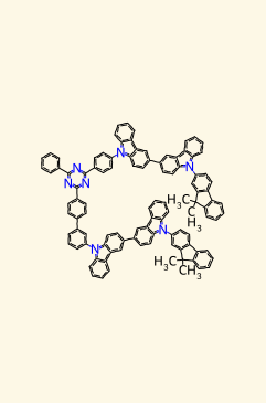 CC1(C)c2ccccc2-c2ccc(-n3c4ccccc4c4cc(-c5ccc6c(c5)c5ccccc5n6-c5ccc(-c6nc(-c7ccccc7)nc(-c7ccc(-c8cccc(-n9c%10ccccc%10c%10cc(-c%11ccc%12c(c%11)c%11ccccc%11n%12-c%11ccc%12c(c%11)C(C)(C)c%11ccccc%11-%12)ccc%109)c8)cc7)n6)cc5)ccc43)cc21